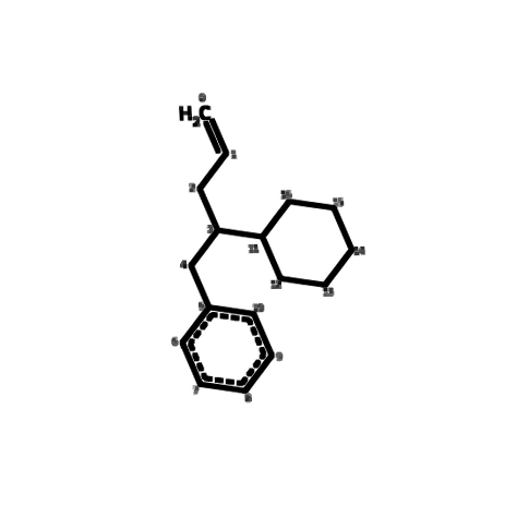 C=CCC(Cc1[c]cccc1)C1CCCCC1